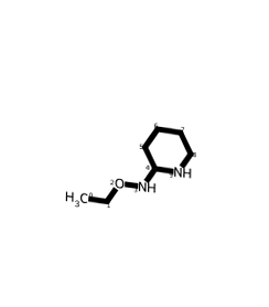 CCONC1CCCCN1